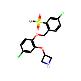 CS(=O)(=O)c1cc(Cl)ccc1COc1ccc(Cl)cc1OC1CNC1